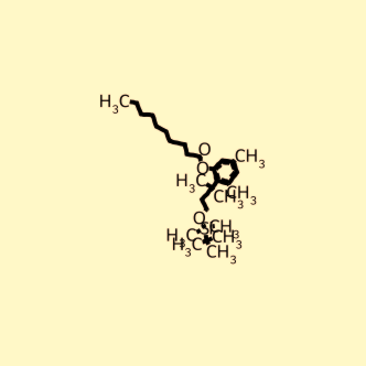 CCCCCCCCCC(=O)Oc1cc(C)cc(C)c1C(C)(C)CCO[Si](C)(C)C(C)(C)C